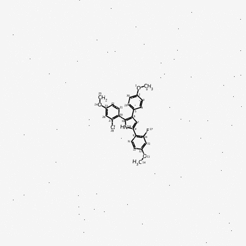 COc1ccc(-c2cc(-c3ccc(OC)cc3F)[nH]c2-c2ccc(OC)cc2Cl)cc1